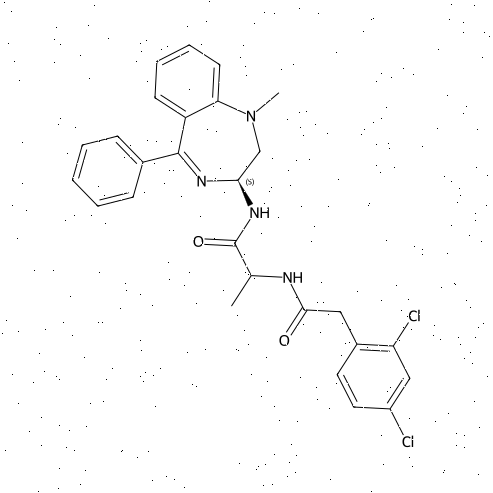 CC(NC(=O)Cc1ccc(Cl)cc1Cl)C(=O)N[C@@H]1CN(C)c2ccccc2C(c2ccccc2)=N1